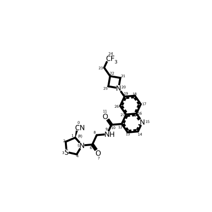 N#C[C@@H]1CSCN1C(=O)CNC(=O)c1ccnc2ccc(N3CC(CC(F)(F)F)C3)cc12